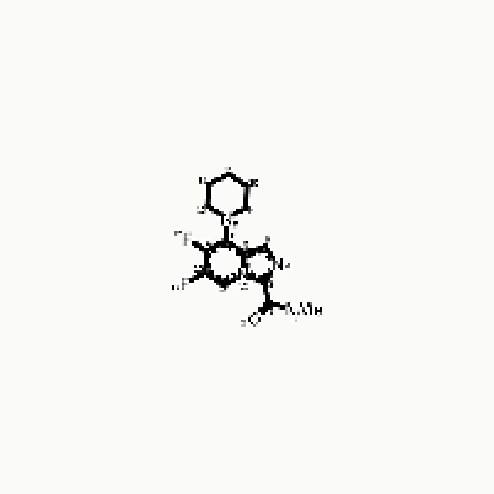 CNC(=O)c1ncc2c(N3CCCCC3)c(F)c(F)cn12